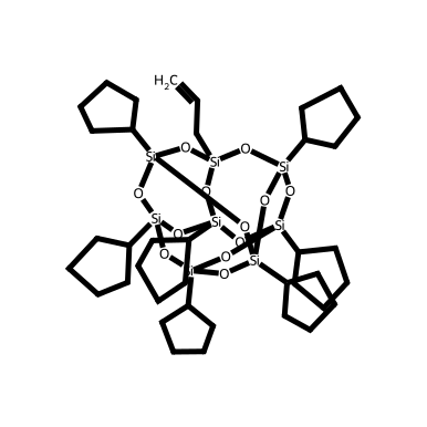 C=CC[Si]12O[Si]3(C4CCCC4)O[Si]4(C5CCCC5)O[Si](C5CCCC5)(O1)O[Si]1(C5CCCC5)O[Si](C5CCCC5)(O2)O[Si](C2CCCC2)(O3)O[Si](C2CCCC2)(O4)O1